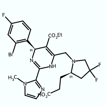 CCOC(=O)C1=C(CN2CC(F)(F)C[C@H]2CCC(=O)O)NC(c2nccn2C)=N[C@H]1c1ccc(F)cc1Br